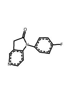 O=C1Cc2cnccc2N1c1ccc(F)cc1